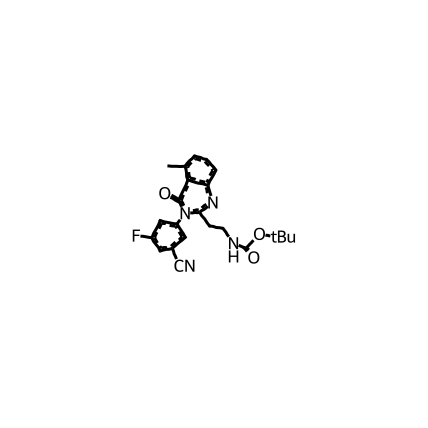 Cc1cccc2nc(CCNC(=O)OC(C)(C)C)n(-c3cc(F)cc(C#N)c3)c(=O)c12